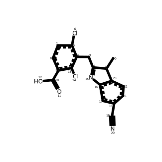 CC1C(Cc2c(Cl)ccc(C(=O)O)c2Cl)=Nc2cc(C#N)ccc21